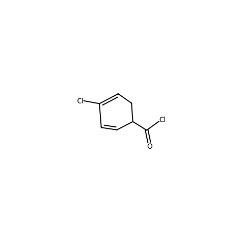 O=C(Cl)C1C=CC(Cl)=CC1